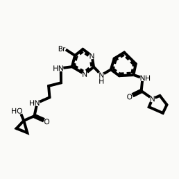 O=C(Nc1cccc(Nc2ncc(Br)c(NCCCNC(=O)C3(O)CC3)n2)c1)N1CCCC1